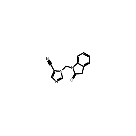 N#Cc1cncn1CN1C(=O)Cc2ccccc21